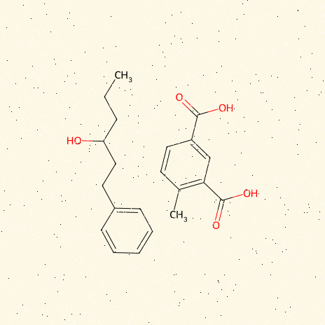 CCCC(O)CCc1ccccc1.Cc1ccc(C(=O)O)cc1C(=O)O